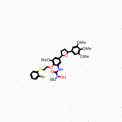 COc1cc(C2CCC(c3cc(OC)c(OC)c(OC)c3)O2)cc(NC(=O)N(O)C(C)(C)C)c1OCCSc1ccccc1Br